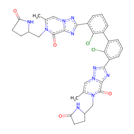 Cc1cn2nc(-c3cccc(-c4cccc(-c5nc6c(=O)n(CC7CCC(=O)N7)c(C)cn6n5)c4Cl)c3Cl)nc2c(=O)n1CC1CCC(=O)N1